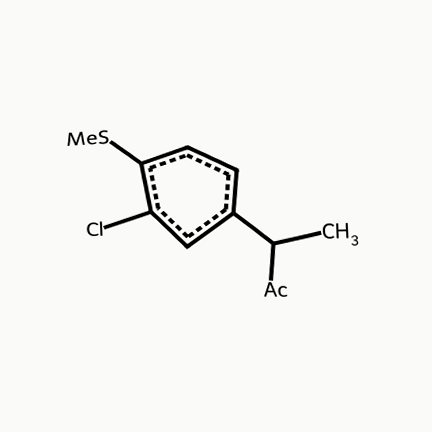 CSc1ccc(C(C)C(C)=O)cc1Cl